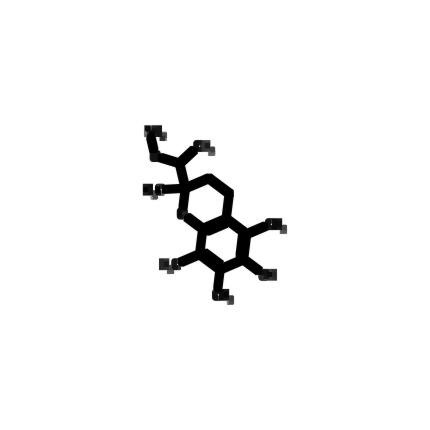 Cc1c(C)c2c(c(C)c1O)CCC(C)(C(C)ON)O2